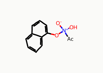 CC(=O)[N+]([O-])(O)Oc1cccc2ccccc12